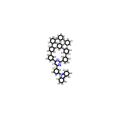 c1ccc(-c2cccc(-c3cccc(-c4ccc(-c5cccc(-c6cc(-c7cccc(-n8c9ccccc9c9ccccc98)c7)nc(-c7cccc(-c8cccc(-c9ccccc9)c8)c7)n6)c5)cc4)c3)c2)cc1